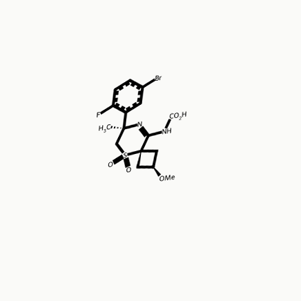 CO[C@H]1C[C@]2(C1)C(NC(=O)O)=N[C@](C)(c1cc(Br)ccc1F)CS2(=O)=O